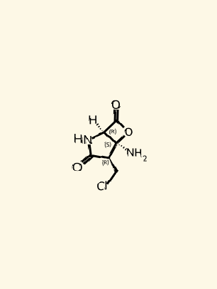 N[C@@]12OC(=O)[C@@H]1NC(=O)[C@@H]2CCl